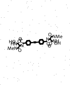 CNC(=O)C(=NC(=C=O)c1ccc(C#Cc2ccc(C(=C=O)N=C(C(=O)NC)C(=O)NO)cc2)cc1)C(=O)NO